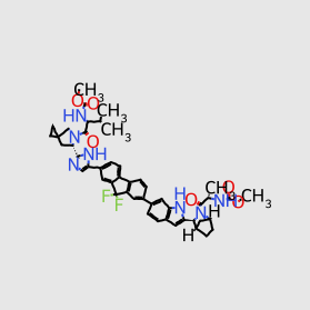 COC(=O)N[C@@H](C)C(=O)N1[C@@H]2CC[C@@H](C2)[C@H]1c1cc2ccc(-c3ccc4c(c3)C(F)(F)c3cc(-c5cnc([C@@H]6CC7(CC7)CN6C(=O)[C@@H](NC(=O)OC)C(C)C)[nH]5)ccc3-4)cc2[nH]1